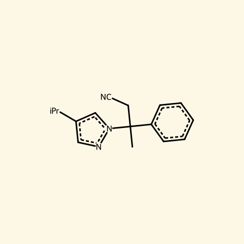 CC(C)c1cnn(C(C)(CC#N)c2ccccc2)c1